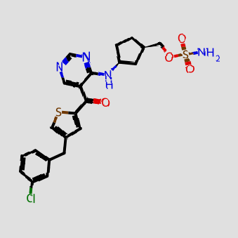 NS(=O)(=O)OC[C@@H]1CC[C@H](Nc2ncncc2C(=O)c2cc(Cc3cccc(Cl)c3)cs2)C1